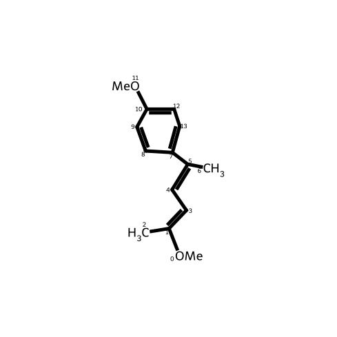 CO/C(C)=C/C=C(\C)c1ccc(OC)cc1